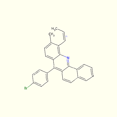 C/C=C\c1c(C)ccc2c(-c3ccc(Br)cc3)c3ccc4ccccc4c3nc12